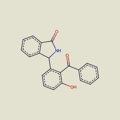 O=C1NC(c2cccc(O)c2C(=O)c2ccccc2)c2ccccc21